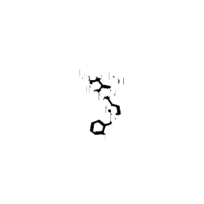 Cc1nc(-c2ccn(Cc3ccccc3F)n2)nc2c1C(C)(C)C(=O)N2